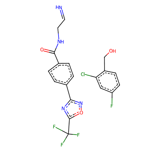 N=CCNC(=O)c1ccc(-c2noc(C(F)(F)F)n2)cc1.OCc1ccc(F)cc1Cl